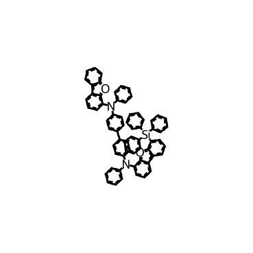 c1ccc(N(c2ccc(-c3ccc(N(c4ccccc4)c4cccc5c4oc4c([Si](c6ccccc6)(c6ccccc6)c6ccccc6)cccc45)cc3)cc2)c2cccc3c2oc2ccccc23)cc1